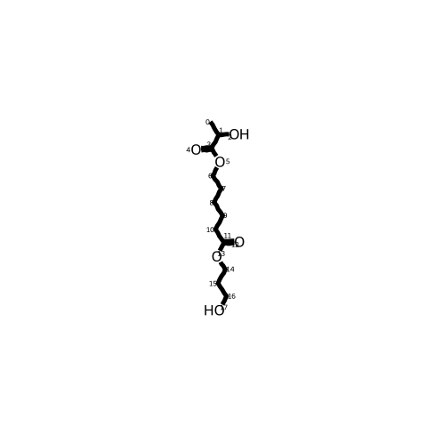 CC(O)C(=O)OCCCCCC(=O)OCCCO